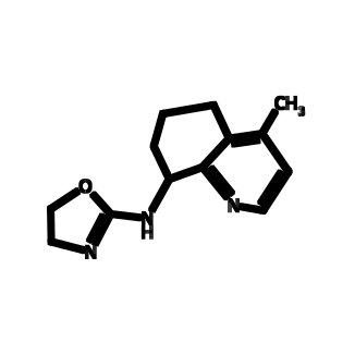 Cc1ccnc2c1CCCC2NC1=NCCO1